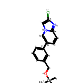 CC(C)(C)[Si](C)(C)OCc1cccc(-c2ccc3nc(Cl)cn3c2)c1